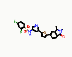 CC1c2cc(-c3ccc(-c4cncc(NS(=O)(=O)c5ccc(F)cc5F)c4)s3)ccc2C(=O)N1C